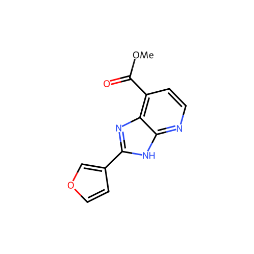 COC(=O)c1ccnc2[nH]c(-c3ccoc3)nc12